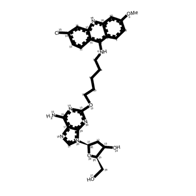 COc1ccc2c(NCCCCCOc3nc(N)c4ncn([C@H]5CC(O)[C@@H](CO)O5)c4n3)c3ccc(Cl)cc3nc2c1